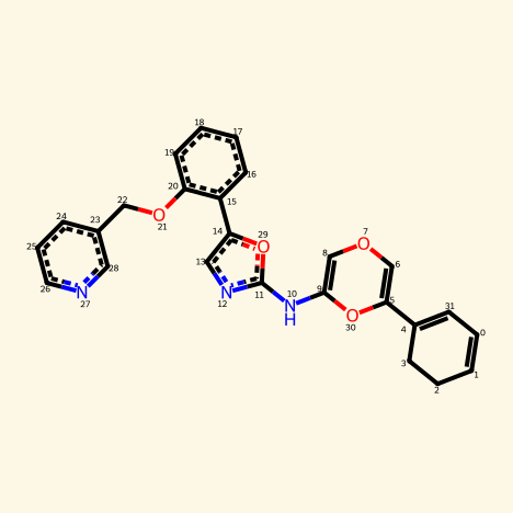 C1=CCCC(C2=COC=C(Nc3ncc(-c4ccccc4OCc4cccnc4)o3)O2)=C1